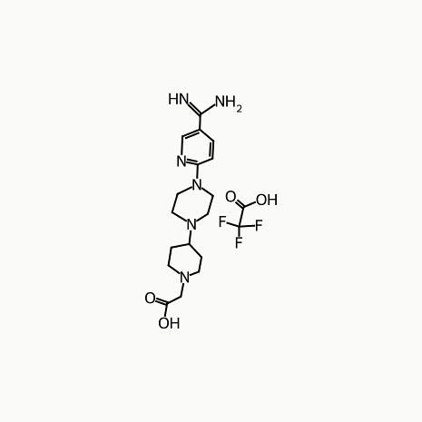 N=C(N)c1ccc(N2CCN(C3CCN(CC(=O)O)CC3)CC2)nc1.O=C(O)C(F)(F)F